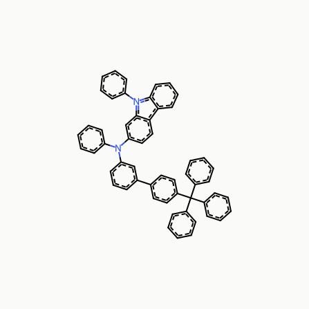 c1ccc(N(c2cccc(-c3ccc(C(c4ccccc4)(c4ccccc4)c4ccccc4)cc3)c2)c2ccc3c4ccccc4n(-c4ccccc4)c3c2)cc1